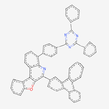 c1ccc(-c2nc(-c3ccccc3)nc(-c3ccc(-c4cccc5c4nc(-c4ccc6c7ccccc7c7ccccc7c6c4)c4oc6ccccc6c45)cc3)n2)cc1